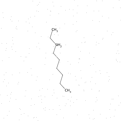 CCCCC[CH][SiH2]CC